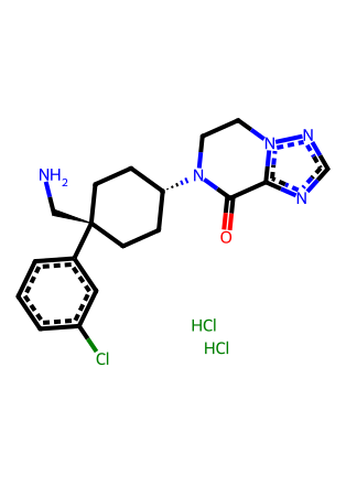 Cl.Cl.NC[C@]1(c2cccc(Cl)c2)CC[C@@H](N2CCn3ncnc3C2=O)CC1